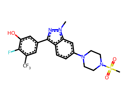 Cn1nc(-c2cc(O)c(F)c(C(F)(F)F)c2)c2ccc(N3CCN(S(C)(=O)=O)CC3)cc21